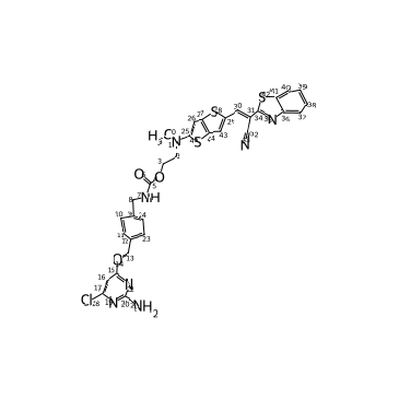 CN(CCOC(=O)NCc1ccc(COc2cc(Cl)nc(N)n2)cc1)c1cc2sc(/C=C(\C#N)c3nc4ccccc4s3)cc2s1